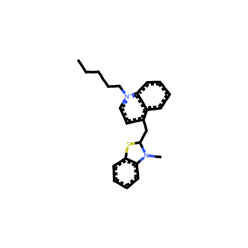 CCCCC[n+]1ccc(CC2Sc3ccccc3N2C)c2ccccc21